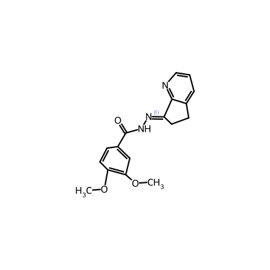 COc1ccc(C(=O)N/N=C2\CCc3cccnc32)cc1OC